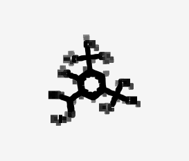 CC(C)(C)c1cc(C(=O)O)c(O)c(C(C)(C)C)c1.[InH3]